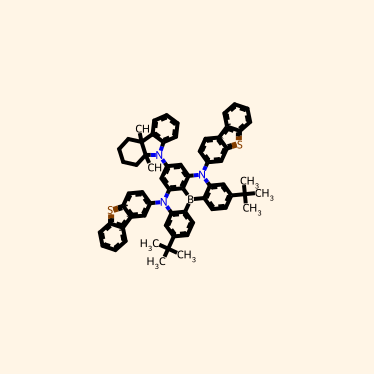 CC(C)(C)c1ccc2c(c1)N(c1ccc3c(c1)sc1ccccc13)c1cc(N3c4ccccc4C4(C)CCCCC34C)cc3c1B2c1ccc(C(C)(C)C)cc1N3c1ccc2sc3ccccc3c2c1